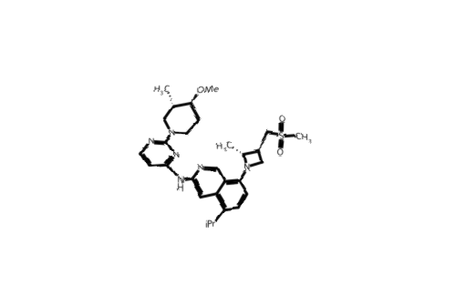 CO[C@H]1CCN(c2nccc(Nc3cc4c(C(C)C)ccc(N5C[C@H](CS(C)(=O)=O)[C@H]5C)c4cn3)n2)C[C@@H]1C